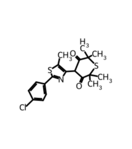 Cc1sc(-c2ccc(Cl)cc2)nc1C1C(=O)C(C)(C)SC(C)(C)C1=O